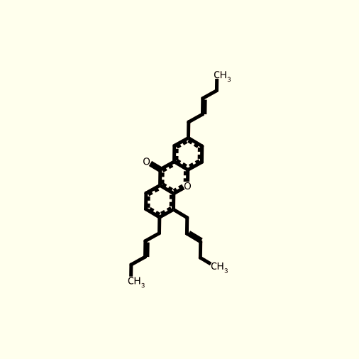 CCC=CCc1ccc2oc3c(CC=CCC)c(CC=CCC)ccc3c(=O)c2c1